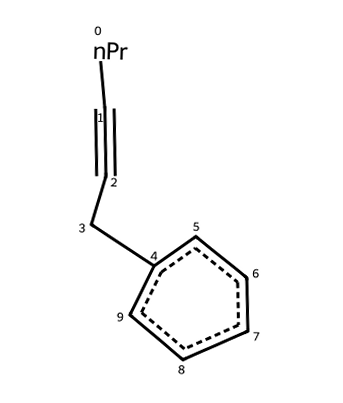 CCCC#CCc1ccccc1